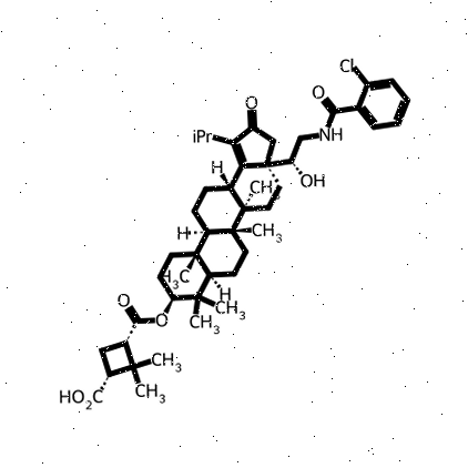 CC(C)C1=C2[C@H]3CC[C@@H]4[C@@]5(C)CC[C@H](OC(=O)[C@H]6C[C@@H](C(=O)O)C6(C)C)C(C)(C)[C@@H]5CC[C@@]4(C)[C@]3(C)CC[C@@]2([C@@H](O)CNC(=O)c2ccccc2Cl)CC1=O